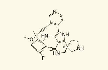 COC(C)(C)C#Cc1cnccc1-c1[nH]c2c(c1Nc1cccc(F)c1C)C(=O)NC[C@]21CCNC1